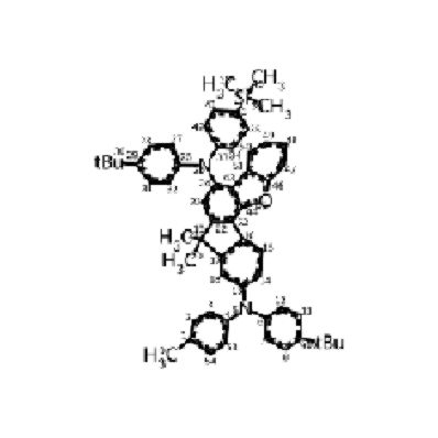 Cc1ccc(N(c2ccc(C(C)(C)C)cc2)c2ccc3c(c2)C(C)(C)c2cc(N(c4ccc(C(C)(C)C)cc4)c4ccc([Si](C)(C)C)cc4)c4c(oc5ccccc54)c2-3)cc1